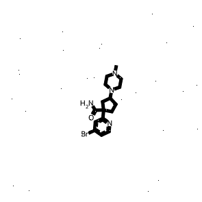 CN1CCN(C2CCC(C(N)=O)(c3cc(Br)ccn3)C2)CC1